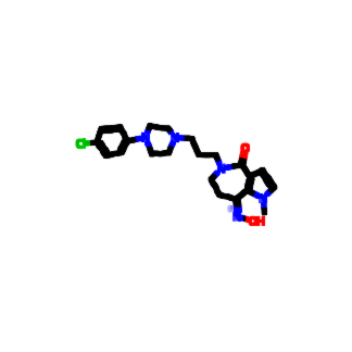 Cn1ccc2c1/C(=N\O)CCN(CCCN1CCN(c3ccc(Cl)cc3)CC1)C2=O